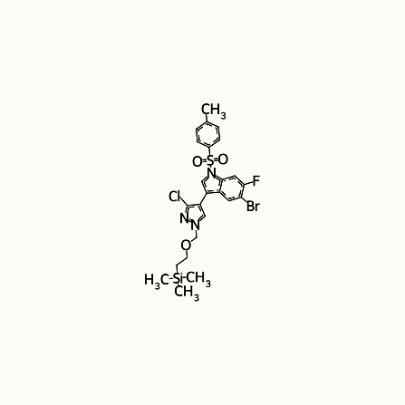 Cc1ccc(S(=O)(=O)n2cc(-c3cn(COCC[Si](C)(C)C)nc3Cl)c3cc(Br)c(F)cc32)cc1